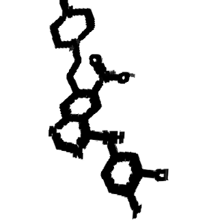 CN1CCN(CCc2cc3ncnc(Nc4ccc(F)c(Cl)c4)c3cc2[N+](=O)[O-])CC1